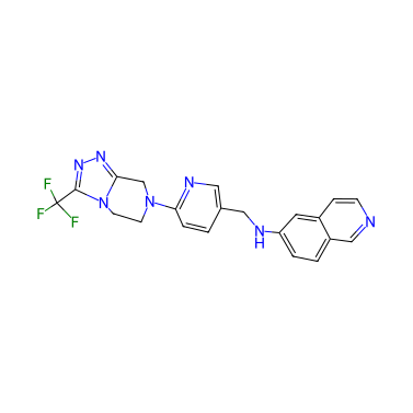 FC(F)(F)c1nnc2n1CCN(c1ccc(CNc3ccc4cnccc4c3)cn1)C2